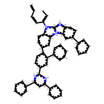 C=C/C=C\C(=C/C)n1c2ccc(-c3ccc(-c4nc(-c5ccccc5)cc(-c5ccccc5)n4)cc3-c3ccccc3)cc2n2c3cc(-c4ccccc4)ccc3nc12